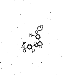 COc1cc(C(=O)N(C)C2CC2)ccc1-c1cc2nccc(-c3ccc(OC4CCOCC4)c(C#N)c3)c2o1